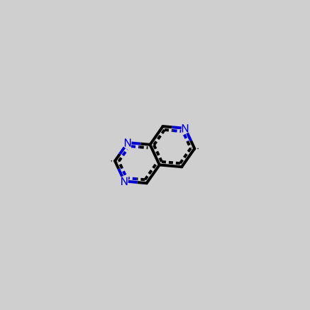 [c]1cc2cn[c]nc2cn1